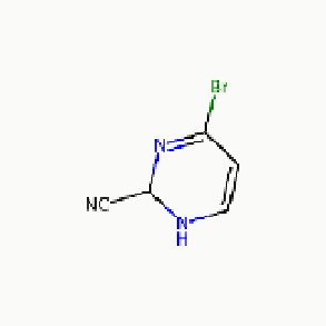 N#CC1N=C(Br)C=CN1